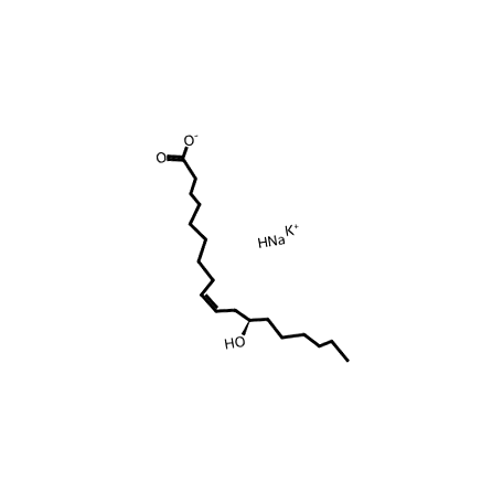 CCCCCC[C@@H](O)C/C=C\CCCCCCCC(=O)[O-].[K+].[NaH]